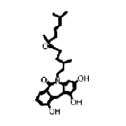 CC(C)=CCCC1(C)OC1CCC(C)CCN1C(=O)c2cccc(O)c2Cc2c(O)cc(O)cc21